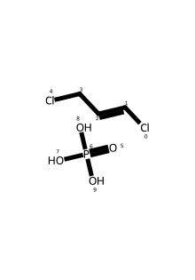 ClC=CCCl.O=P(O)(O)O